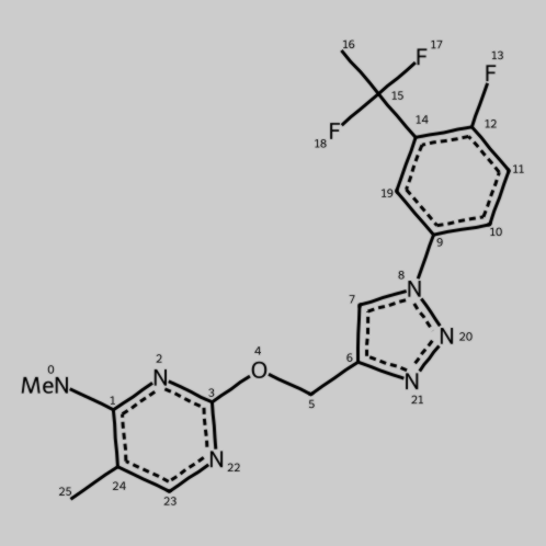 CNc1nc(OCc2cn(-c3ccc(F)c(C(C)(F)F)c3)nn2)ncc1C